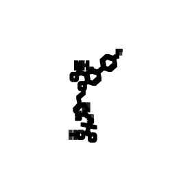 CC(C)(Sc1nc(CCOc2ccc(-c3ccc(F)cc3)cc2C(N)=O)cs1)C(=O)O